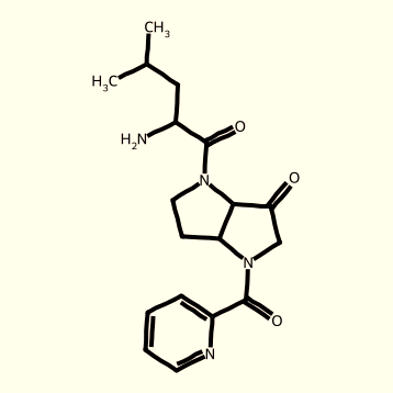 CC(C)CC(N)C(=O)N1CCC2C1C(=O)CN2C(=O)c1ccccn1